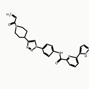 C=CC(=O)N1CCC(c2cn(-c3ccc(NC(=O)c4cccc(-c5ccn[nH]5)n4)cc3)nn2)CC1